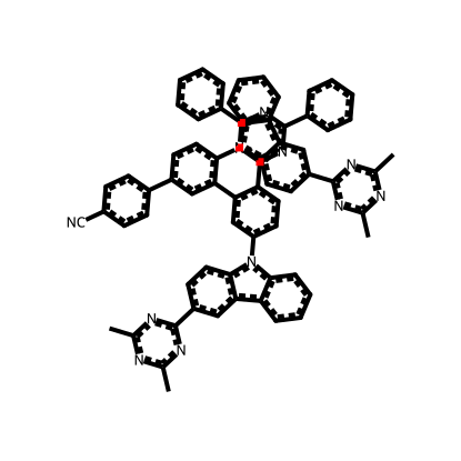 Cc1nc(C)nc(-c2ccc3c(c2)c2ccccc2n3-c2ccc(-c3nc(-c4ccccc4)nc(-c4ccccc4)n3)c(-c3cc(-c4ccc(C#N)cc4)ccc3-n3c4ccccc4c4cc(-c5nc(C)nc(C)n5)ccc43)c2)n1